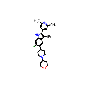 Cc1cc(-c2[nH]c3cc(F)c(C4CCN(C5CCOCC5)CC4)cc3c2C(C)C)cc(C)n1